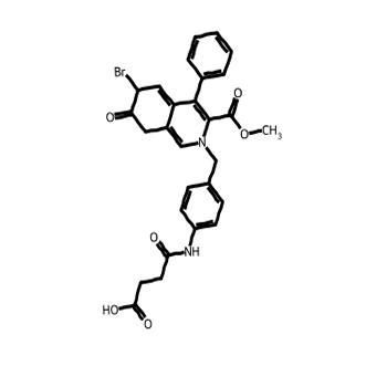 COC(=O)C1=C(c2ccccc2)C2=CC(Br)C(=O)CC2=CN1Cc1ccc(NC(=O)CCC(=O)O)cc1